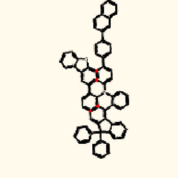 c1ccc(C2(c3ccccc3)c3ccccc3-c3c(-c4ccccc4N(c4ccc(-c5ccc(-c6ccc7ccccc7c6)cc5)cc4)c4ccccc4-c4ccc5oc6ccccc6c5c4)cccc32)cc1